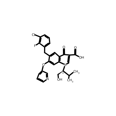 CC(C)[C@@H](CO)n1cc(C(=O)O)c(=O)c2cc(Cc3cccc(Cl)c3F)c(Oc3cccnc3)cc21